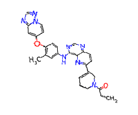 C=CC(=O)N1CCC=C(c2ccc3ncnc(Nc4ccc(Oc5ccn6ncnc6c5)c(C)c4)c3n2)C1